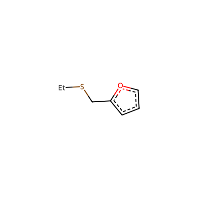 [CH2]CSCc1ccco1